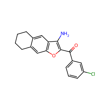 Nc1c(C(=O)c2cccc(Cl)c2)oc2cc3c(cc12)CCCC3